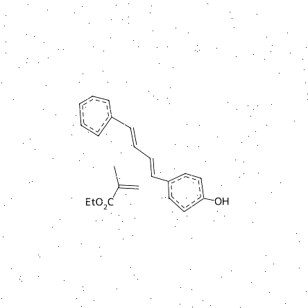 C=C(C)C(=O)OCC.Oc1ccc(C=CC=Cc2ccccc2)cc1